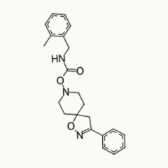 Cc1ccccc1CNC(=O)ON1CCC2(CC1)CC(c1ccccc1)=NO2